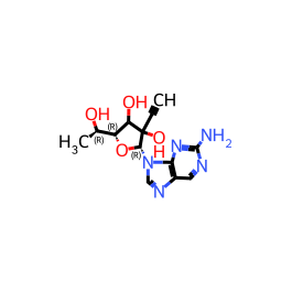 C#CC1(O)C(O)[C@@H]([C@@H](C)O)O[C@H]1n1cnc2cnc(N)nc21